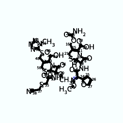 CO/N=C(/C(=O)N[C@@H]1C(=O)N2C(C(=O)O)=C(COC(N)=O)CS[C@H]12)c1ccco1.CO[C@@]1(NC(=O)CSCC#N)C(=O)N2C(C(=O)O)=C(CSc3nnnn3C)CS[C@@H]21